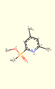 CCOP(C)(=O)c1cc([N+](=O)[O-])cc(C)n1